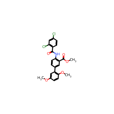 COC(=O)c1cc(-c2cc(OC)ccc2OC)ccc1NC(=O)c1ccc(Cl)cc1Cl